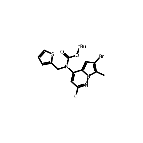 Cc1c(Br)cc2c(N(Cc3cccs3)C(=O)OC(C)(C)C)cc(Cl)nn12